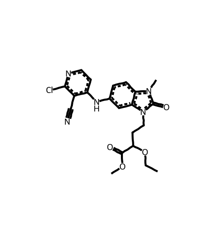 CCOC(CCn1c(=O)n(C)c2ccc(Nc3ccnc(Cl)c3C#N)cc21)C(=O)OC